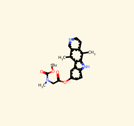 Cc1c2ccncc2c(C)c2c1[nH]c1ccc(OC(=O)CN(C)C(=O)OC(C)(C)C)cc12